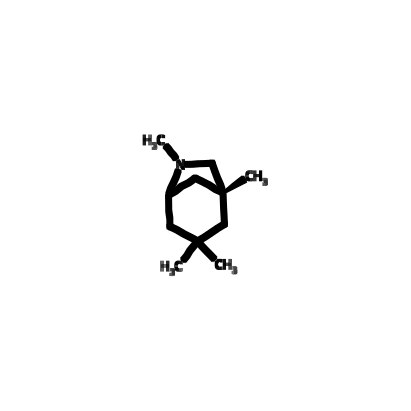 CN1C[C@@]2(C)CC1CC(C)(C)C2